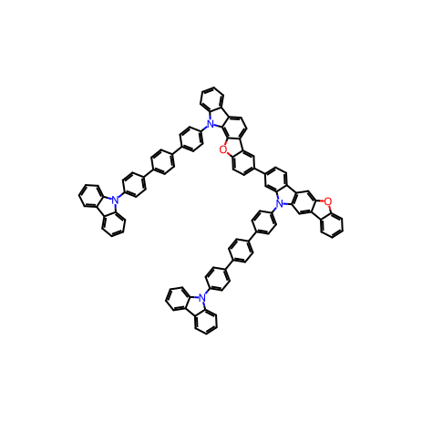 c1ccc2c(c1)oc1cc3c4ccc(-c5ccc6oc7c(ccc8c9ccccc9n(-c9ccc(-c%10ccc(-c%11ccc(-n%12c%13ccccc%13c%13ccccc%13%12)cc%11)cc%10)cc9)c87)c6c5)cc4n(-c4ccc(-c5ccc(-c6ccc(-n7c8ccccc8c8ccccc87)cc6)cc5)cc4)c3cc12